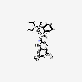 CCN(CC)S(=O)(=O)c1ccccc1S(=O)(=O)/N=C(/Nc1nc(OC)nc(OC)n1)SC